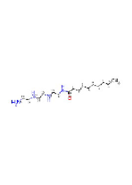 CCCCCCCCCC(=O)NCCNCCNCCN